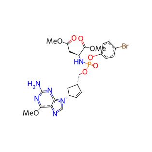 COC(=O)C[C@H](NP(=O)(OC[C@@H]1C=C[C@H](n2cnc3c(OC)nc(N)nc32)C1)Oc1ccc(Br)cc1)C(=O)OC